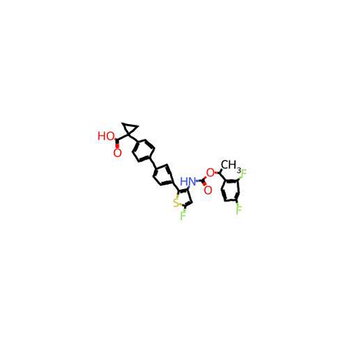 CC(OC(=O)Nc1cc(F)sc1-c1ccc(-c2ccc(C3(C(=O)O)CC3)cc2)cc1)c1ccc(F)cc1F